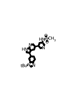 CC(C)(C)n1cnc2ccc(-c3c[nH]c4ncc(-c5cncc(NS(C)(=O)=O)c5)cc34)cc21